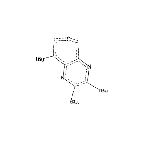 CC(C)(C)c1nc2cccc(C(C)(C)C)c2nc1C(C)(C)C